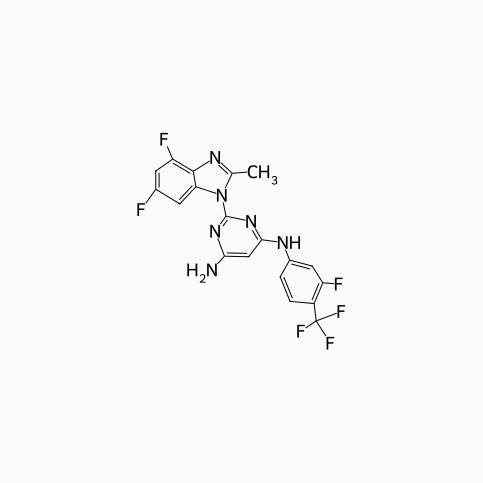 Cc1nc2c(F)cc(F)cc2n1-c1nc(N)cc(Nc2ccc(C(F)(F)F)c(F)c2)n1